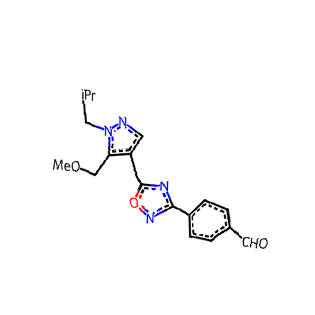 COCc1c(-c2nc(-c3ccc(C=O)cc3)no2)cnn1CC(C)C